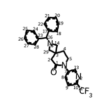 O=C1CC2(CCN1c1ccc(C(F)(F)F)nc1)CN(C(c1ccccc1)c1ccccc1)C2